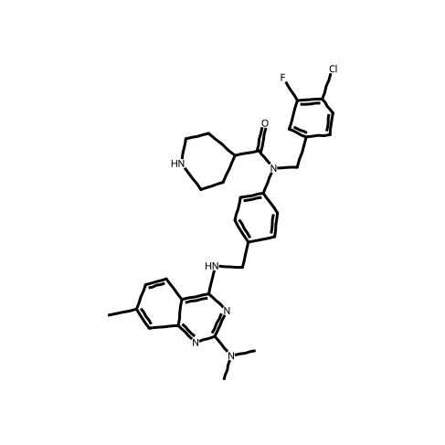 Cc1ccc2c(NCc3ccc(N(Cc4ccc(Cl)c(F)c4)C(=O)C4CCNCC4)cc3)nc(N(C)C)nc2c1